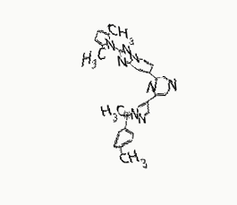 Cc1ccc([C@@H](C)n2cc(-c3cncc(-c4ccn5nc(-n6c(C)ccc6C)nc5c4)n3)cn2)cc1